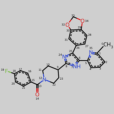 Cc1cccc(-c2[nH]c(C3CCN(C(=O)c4ccc(F)cc4)CC3)nc2-c2ccc3c(c2)OCO3)n1